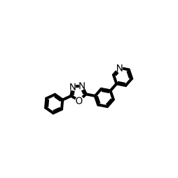 c1ccc(-c2nnc(-c3cccc(-c4cccnc4)c3)o2)cc1